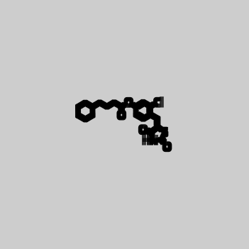 O=C(CCCC1CCCCC1)Oc1ccc(C=C2SC(=O)NC2=O)c(Cl)c1